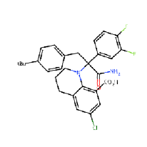 CC(C)(C)c1ccc(CC(C(N)=O)(c2ccc(F)c(F)c2)N2CCCc3cc(Cl)cc(C(=O)O)c32)cc1